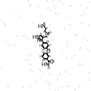 CNCCN(C)Cc1c[nH]nc1-c1ccc(Oc2cccc(C(=O)NC)c2)cc1